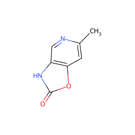 Cc1cc2oc(=O)[nH]c2cn1